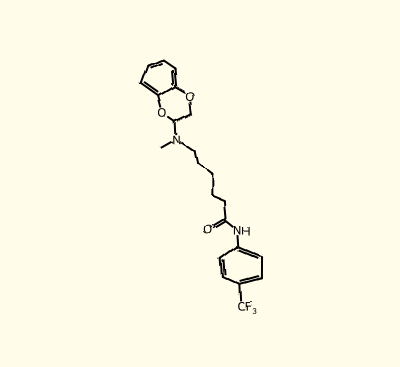 CN(CCCCCC(=O)Nc1ccc(C(F)(F)F)cc1)C1COc2ccccc2O1